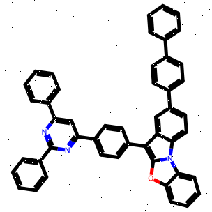 c1ccc(-c2ccc(-c3ccc4c(c3)c(-c3ccc(-c5cc(-c6ccccc6)nc(-c6ccccc6)n5)cc3)c3oc5ccccc5n34)cc2)cc1